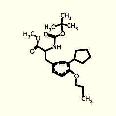 CCCOc1ccc(C[C@H](NC(=O)OC(C)(C)C)C(=O)OC)cc1C1CCCC1